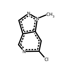 Cn1ncc2cnc(Cl)cc21